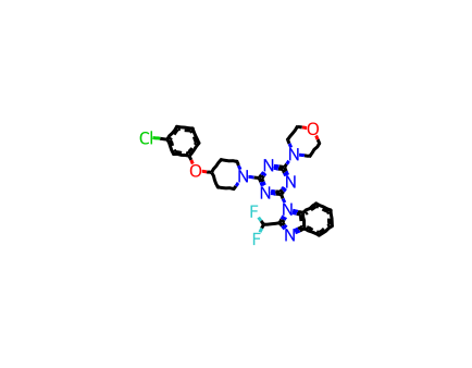 FC(F)c1nc2ccccc2n1-c1nc(N2CCOCC2)nc(N2CCC(Oc3cccc(Cl)c3)CC2)n1